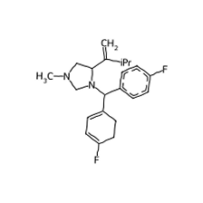 C=C(C(C)C)C1CN(C)CN1C(C1=CC=C(F)CC1)c1ccc(F)cc1